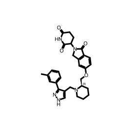 Cc1cccc(-c2n[nH]cc2CN2CCCC[C@@H]2COc2ccc3c(c2)CN(C2CCC(=O)NC2=O)C3=O)c1